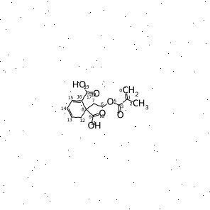 C=C(C)C(=O)OCCC1(C(=O)O)CC=CC=C1C(=O)O